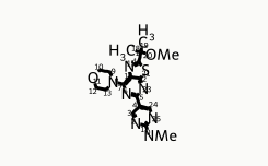 CNc1ncc(-c2nc(N3CCOCC3)c3nc(C(C)(C)OC)sc3n2)cn1